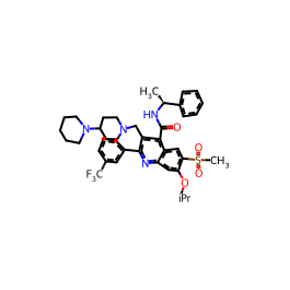 CC(C)Oc1cc2nc(-c3cccc(C(F)(F)F)c3)c(CN3CCC(N4CCCCC4)CC3)c(C(=O)N[C@@H](C)c3ccccc3)c2cc1S(C)(=O)=O